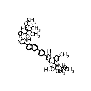 C=C1C[C@@H](c2ncc(-c3ccc(-c4ccc5cc(C6CN=C([C@@H]7CCCN7C(=O)[C@@H](NC(=O)OC)C(C)C)N6)ccc5c4)cc3)[nH]2)N(C(=O)[C@@H](NC(=O)OC)C(C)C)C1